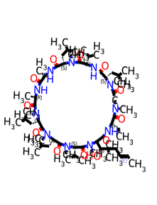 C/C=C/CC(C)(C)[C@@H](O)C1C(=O)N[C@@H](CC)C(=O)N(C)CC(=O)N(C)[C@@H](CC(C)C)C(=O)N[C@@H](C(C)C)C(=O)N(C)[C@@H](CC(C)C)C(=O)N[C@@H](C)C(=O)N[C@H](C)C(=O)N(C)[C@@H](CC(C)C)C(=O)N(C)[C@@H](CC(C)C)C(=O)N(C)[C@@H](C(C)C)C(=O)N1C